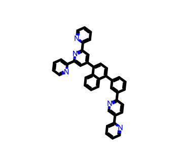 c1ccc(-c2ccc(-c3cccc(-c4ccc(-c5cc(-c6ccccn6)nc(-c6ccccn6)c5)c5ccccc45)c3)nc2)nc1